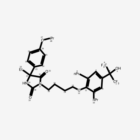 CCCc1cc(C(O)(C(F)(F)F)C(F)(F)F)cc(CCC)c1OCCCCN1C(=O)NC(CC)(c2ccc(OC(C)C)cc2)C1=O